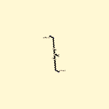 CCCCC/C=C\C/C=C\CCCCCCCCOC(=O)CCCN(CCC(=O)OCCCCCCCC/C=C\C/C=C\CCCCC)CCN(C)C